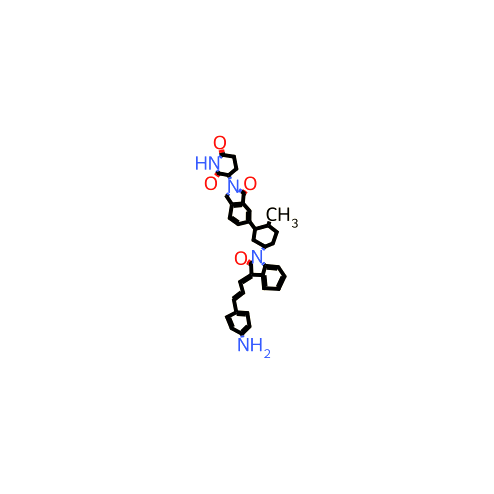 CC1CCC(N2C(=O)/C(=C/C=C/c3ccc(N)cc3)c3ccccc32)CC1c1ccc2c(c1)C(=O)N(C1CCC(=O)NC1=O)C2